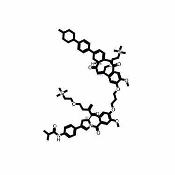 C=C(CCOCC[Si](C)(C)C)C(=O)[C@@H]1CC(c2ccc(NC(=O)C(C)C)cc2)=CN1C(=O)c1cc(OC)c(OCCCOc2cc3c(cc2OC)C(=O)CC2=CC=C(c4ccc(C5CCC(C)CC5)cc4)C[C@H]2C(=O)/C=C/3COCC[Si](C)(C)C)cc1C